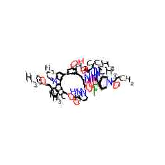 C=CC(=O)N1CCC(F)(C(=O)N(C)C(C(=O)N[C@H]2Cc3cc(O)cc(c3)-c3ccc4c(c3)c(c(-c3ccccc3CCOC)n4CC)CC(C)(C)COC(=O)[C@@H]3CCCN(N3)C2=O)C(C)C)CC1